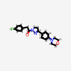 O=C(Cc1ccc(F)cc1)N1CCC(c2ccc(N3CCOCC3)cc2)=N1